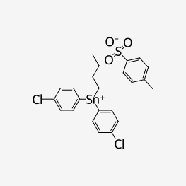 CCC[CH2][Sn+]([c]1ccc(Cl)cc1)[c]1ccc(Cl)cc1.Cc1ccc(S(=O)(=O)[O-])cc1